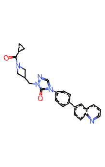 O=C(C1CC1)N1CC(Cn2ncn(-c3ccc(-c4ccc5ncccc5c4)cc3)c2=O)C1